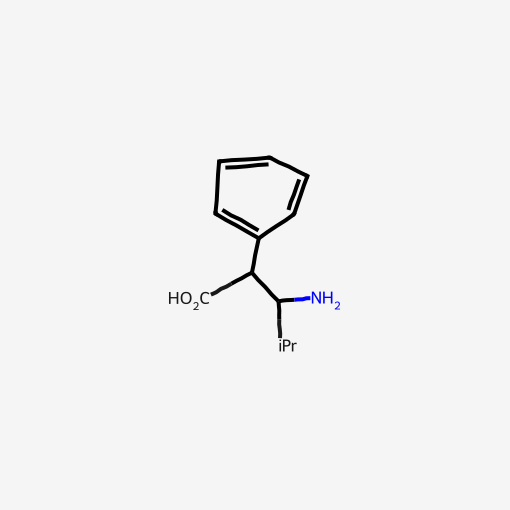 CC(C)C(N)C(C(=O)O)c1ccccc1